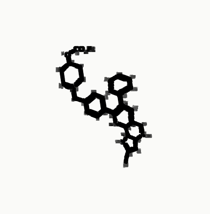 CCOC(=O)OC1CCN(Cc2ccc(-c3nc4c(cnc5cc(C)nn54)cc3-c3ccccc3)cc2)CC1